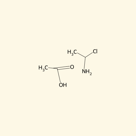 CC(=O)O.CC(N)Cl